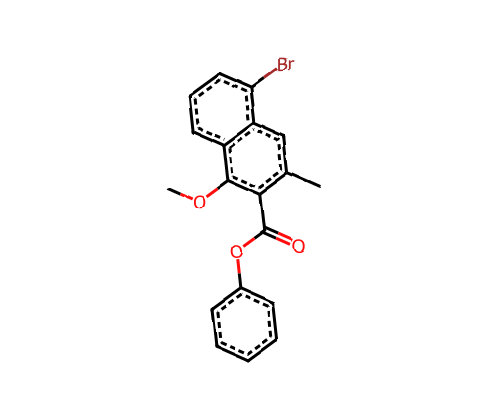 COc1c(C(=O)Oc2ccccc2)c(C)cc2c(Br)cccc12